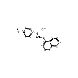 COc1ccc(CNCc2cccc3ccccc23)cc1.Cl